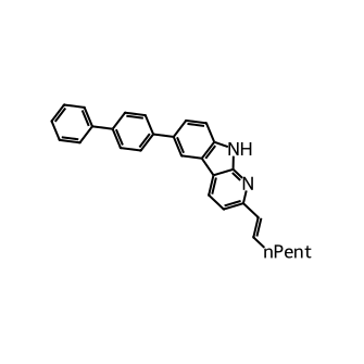 CCCCC/C=C/c1ccc2c(n1)[nH]c1ccc(-c3ccc(-c4ccccc4)cc3)cc12